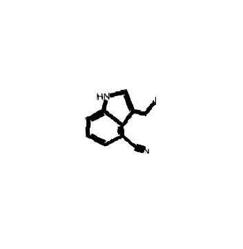 N#Cc1cccc2[nH]cc(CI)c12